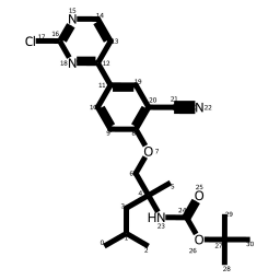 CC(C)CC(C)(COc1ccc(-c2ccnc(Cl)n2)cc1C#N)NC(=O)OC(C)(C)C